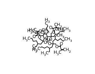 C=C(C)C(=O)OCC(CC(CC)CCCC)(CC(CC)CCCC)OP(=O)(OC(COC(=O)C(=C)C)(CC(CC)CCCC)CC(CC)CCCC)OC(COC(=O)C(=C)C)(CC(CC)CCCC)CC(CC)CCCC